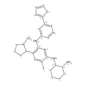 CN1CCCC1c1cc(F)c(NC2CCCCC2N)nc1Nc1cncc(-c2ccco2)c1